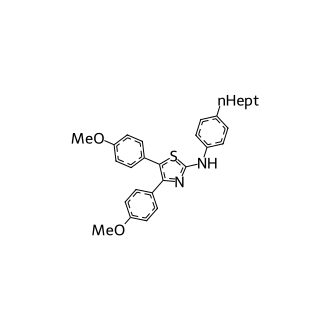 CCCCCCCc1ccc(Nc2nc(-c3ccc(OC)cc3)c(-c3ccc(OC)cc3)s2)cc1